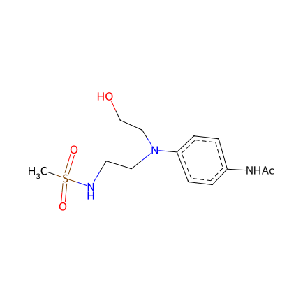 CC(=O)Nc1ccc(N(CCO)CCNS(C)(=O)=O)cc1